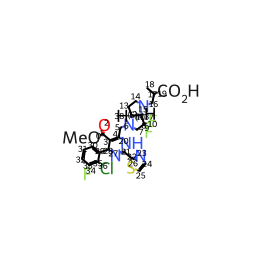 COC(=O)C1=C(CN2CC(F)(F)[C@H]3[C@@H]2CCN3CC(C)C(=O)O)NC(c2nccs2)=NC1c1cccc(F)c1Cl